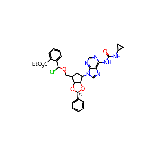 CCOC(=O)c1ccccc1C(Cl)OCC1CC(n2cnc3c(NC(=O)NC4CC4)ncnc32)C2O[C@@H](c3ccccc3)OC12